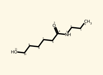 CCCNC(=O)CCCCCO